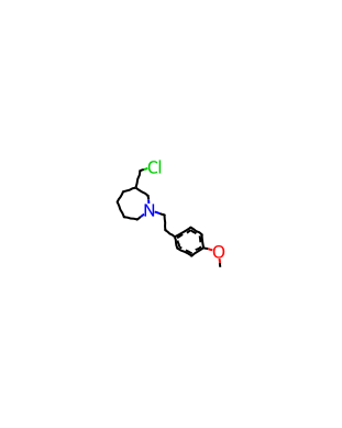 COc1ccc(CCN2CCCCC(CCl)C2)cc1